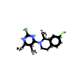 Cc1nc(Cl)nc(N2CCc3ccc(F)cc3C2C)c1C